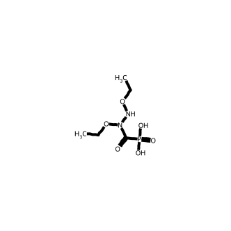 CCONN(OCC)C(=O)P(=O)(O)O